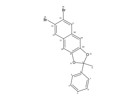 CC1(c2ccccc2)Oc2cc3cc(Br)c(Br)cc3cc2O1